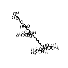 CC(C)(C)OC(=O)NC(CSCCCCCCCC(=O)NC(CCC(=O)NCCOCCOCC(=O)O)C(=O)OC(C)(C)C)C(=O)OC(C)(C)C